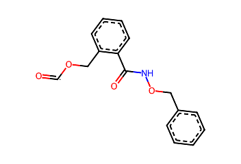 O=[C]OCc1ccccc1C(=O)NOCc1ccccc1